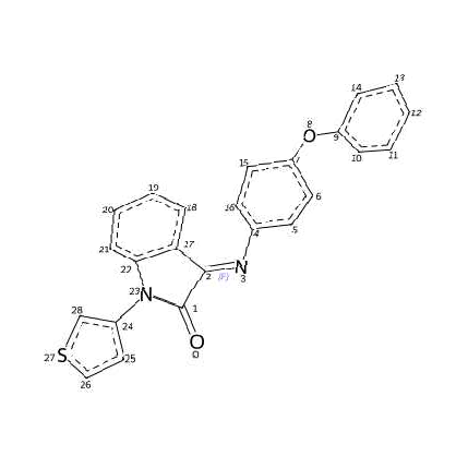 O=C1/C(=N/c2ccc(Oc3ccccc3)cc2)c2ccccc2N1c1ccsc1